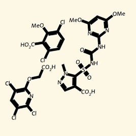 COc1c(Cl)ccc(Cl)c1C(=O)O.COc1cc(OC)nc(NC(=O)NS(=O)(=O)c2c(C(=O)O)cnn2C)n1.O=C(O)COc1nc(Cl)c(Cl)cc1Cl